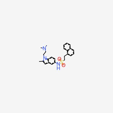 Cc1cc2cc(NS(=O)(=O)CCc3cccc4ccccc34)ccc2n1CCN(C)C